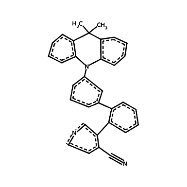 CC1(C)c2ccccc2N(c2cccc(-c3ccccc3-c3cnccc3C#N)c2)c2ccccc21